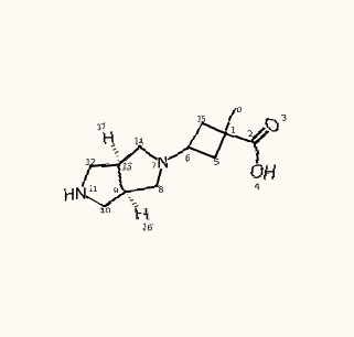 CC1(C(=O)O)CC(N2C[C@H]3CNC[C@H]3C2)C1